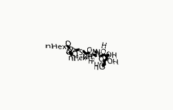 CCCCCCC(=O)OC[C@H](CSC[C@@H](N)C(=O)Nc1cn([C@H]2OC(CO)C(O)C(O)C2O)nn1)OC(=O)CCCCCC